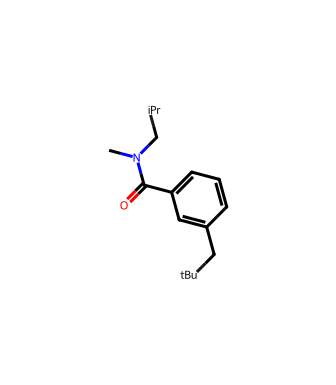 CC(C)CN(C)C(=O)c1cccc(CC(C)(C)C)c1